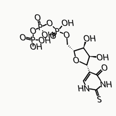 O=c1[nH]c(=S)[nH]cc1[C@@H]1O[C@H](COP(=O)(O)OP(=O)(O)OP(=O)(O)O)[C@@H](O)[C@H]1O